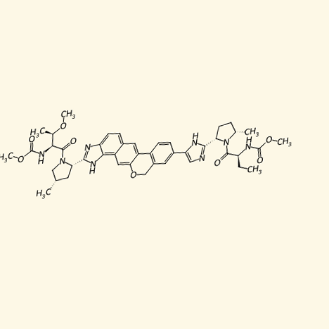 CC[C@H](NC(=O)OC)C(=O)N1[C@@H](C)CC[C@H]1c1ncc(-c2ccc3c(c2)COc2cc4c(ccc5nc([C@@H]6C[C@H](C)CN6C(=O)[C@@H](NC(=O)OC)[C@@H](C)OC)[nH]c54)cc2-3)[nH]1